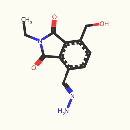 CCN1C(=O)c2c(/C=N/N)ccc(CO)c2C1=O